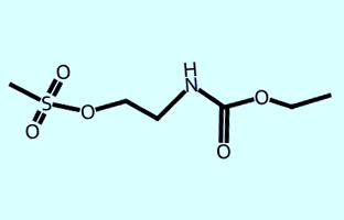 CCOC(=O)NCCOS(C)(=O)=O